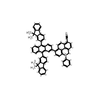 CC1(C)c2ccccc2-c2ccc(-c3c4ccccc4c(-c4ccc5c(c4)C(C)(C)c4ccccc4-5)c4cc(-c5ccc6c7c5ccc5c(C#N)ccc(c57)CN6c5ccccc5)ccc34)cc21